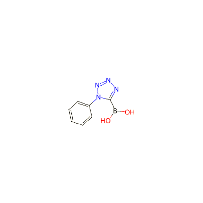 OB(O)c1nnnn1-c1ccccc1